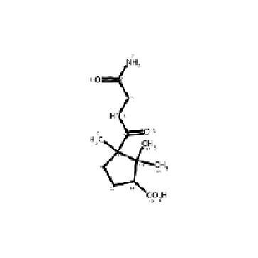 CC1(C(=O)NCC(N)=O)CCC(C(=O)O)C1(C)C